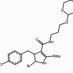 CNC1=C(C(=O)NCCCOC2CCCCO2)N(Cc2ccc(Cl)cc2)C(Br)N1